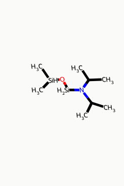 CC(C)N([SiH2]O[SiH](C)C)C(C)C